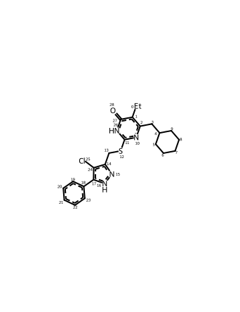 CCc1c(CC2CCCCC2)nc(SCc2n[nH]c(-c3ccccc3)c2Cl)[nH]c1=O